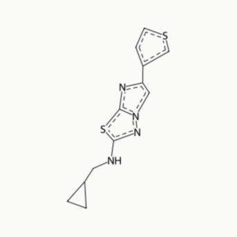 c1cc(-c2cn3nc(NCC4CC4)sc3n2)cs1